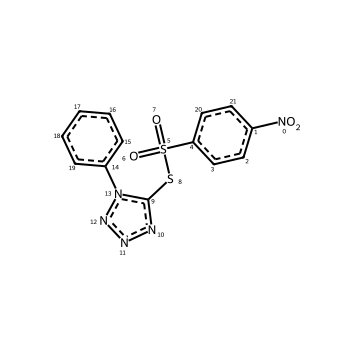 O=[N+]([O-])c1ccc(S(=O)(=O)Sc2nnnn2-c2ccccc2)cc1